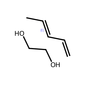 C=C/C=C/C.OCCO